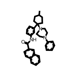 CC1CCC(c2cccc(NC(=O)c3ccc4ccccc4c3)c2)(N2CCN(c3ccccc3)CC2)CC1